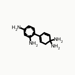 Nc1ccc(C2=CCC(N)(N)C=C2)c(N)c1